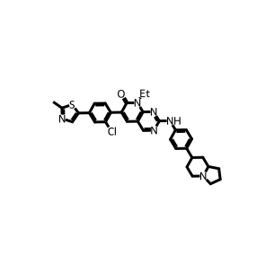 CCn1c(=O)c(-c2ccc(-c3cnc(C)s3)cc2Cl)cc2cnc(Nc3ccc(C4CCN5CCCC5C4)cc3)nc21